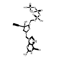 C#C[C@@]1(O)C[C@H](Cn2cnc3c(=O)[nH]c(N)nc32)O[C@@H]1COP(=O)(O)OP(=O)(O)OP(=O)(O)O